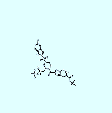 CC(C)(C)OC(=O)C1Cc2nc(C(=O)N3CCN(S(=O)(=O)c4cc5cc(Cl)ccc5[nH]4)CC3CC(=O)NS(C)(=O)=O)sc2CN1